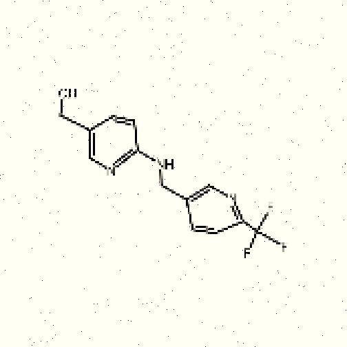 OCc1ccc(NCc2ccc(C(F)(F)F)nc2)nc1